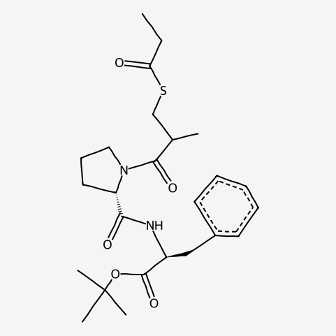 CCC(=O)SCC(C)C(=O)N1CCC[C@H]1C(=O)N[C@@H](Cc1ccccc1)C(=O)OC(C)(C)C